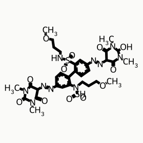 COCCCNS(=O)(=O)c1cc(N=NC2C(=O)N(C)C(O)N(C)C2=O)ccc1-c1ccc(N=NC2C(=O)N(C)C(=O)N(C)C2=O)cc1N(CCCOC)[SH](=O)=O